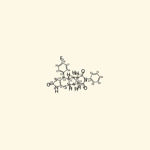 O=C1[C@@H]2[C@H]3C[C@H]([C@@H]4Sc5[nH]c(=O)sc5[C@@H](c5ccc(F)cc5)[C@H]34)[C@@H]2C(=O)N1c1ccccc1